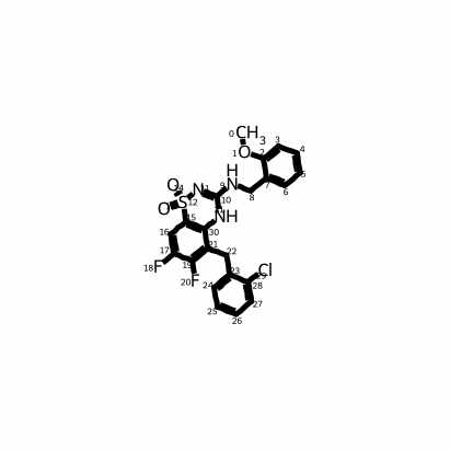 COc1ccccc1CNC1=NS(=O)(=O)c2cc(F)c(F)c(Cc3ccccc3Cl)c2N1